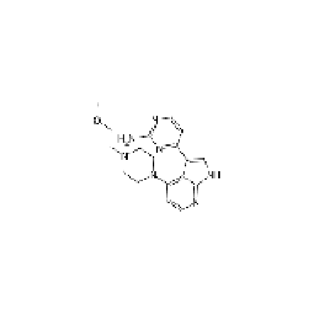 COCCN1CCN(c2ccnc3[nH]cc(-c4ccnc(N)n4)c23)CC1